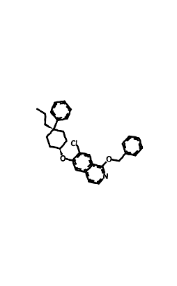 CCC[C@]1(c2ccccc2)CC[C@H](Oc2cc3ccnc(OCc4ccccc4)c3cc2Cl)CC1